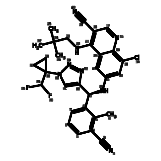 Cc1c(C#N)cccc1[C@H](Nc1cc(Cl)c2ncc(C#N)c(NCC(C)(C)C)c2c1)c1cn(C2(C(F)F)CC2)nn1